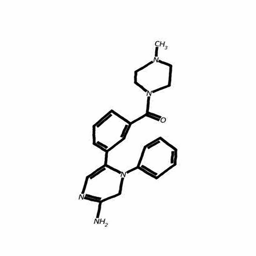 CN1CCN(C(=O)c2cccc(C3=CN=C(N)CN3c3ccccc3)c2)CC1